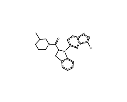 CC1CCCN(C(=O)C2Cc3ccccc3N2c2ccc3nnc(Cl)n3n2)C1